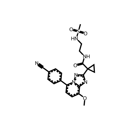 COc1ccc(-c2ccc(C#N)cc2)n2nc(C3(C(=O)NCCNS(C)(=O)=O)CC3)nc12